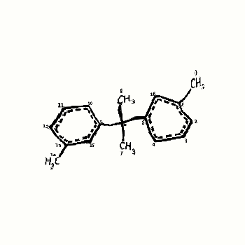 Cc1[c]ccc(C(C)(C)c2cc[c]c(C)c2)c1